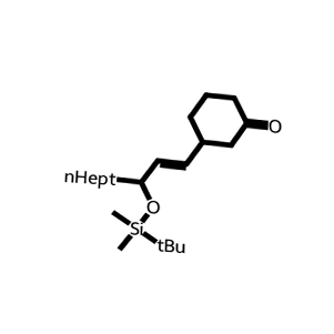 CCCCCCCC(C=CC1CCCC(=O)C1)O[Si](C)(C)C(C)(C)C